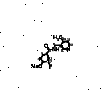 COc1ncc(C(=O)NCc2cnccc2C)cc1F